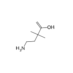 C=C(O)C(C)(C)CCN